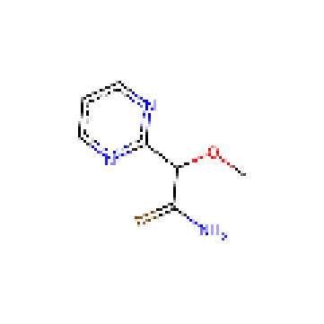 COC(C(N)=S)c1ncccn1